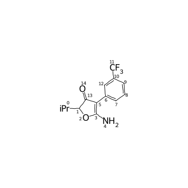 CC(C)C1OC(N)=C(c2cccc(C(F)(F)F)c2)C1=O